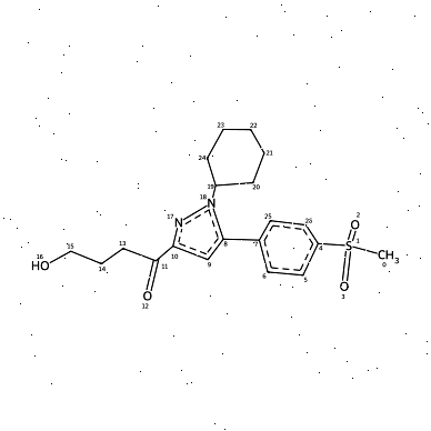 CS(=O)(=O)c1ccc(-c2cc(C(=O)CCCO)nn2C2CCCCC2)cc1